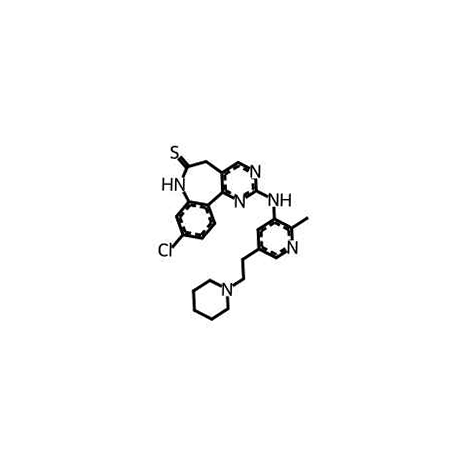 Cc1ncc(CCN2CCCCC2)cc1Nc1ncc2c(n1)-c1ccc(Cl)cc1NC(=S)C2